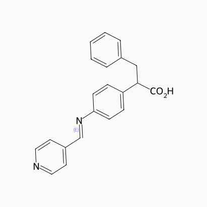 O=C(O)C(Cc1ccccc1)c1ccc(/N=C/c2ccncc2)cc1